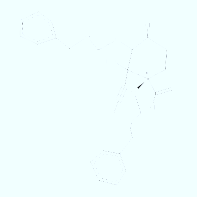 CC#CC1(O)C(OCOCc2ccccc2)C(C)CC[C@]1(OCOCc1ccccc1)C(C)=O